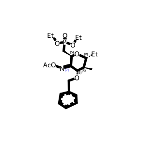 CCOP(=O)(C[C@H]1O[C@H](CC)[C@@H](C)[C@H](OCc2ccccc2)/C1=N/OC(C)=O)OCC